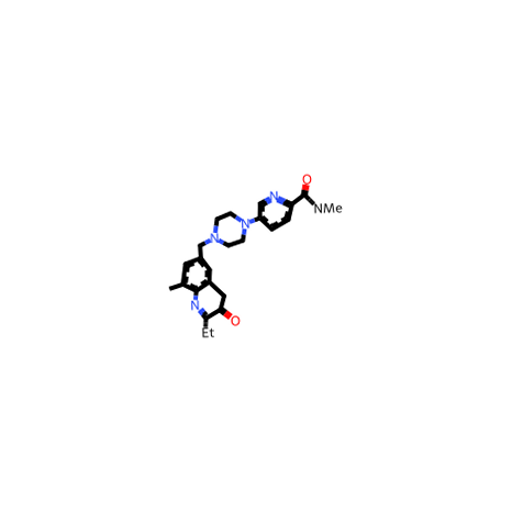 CCC1=Nc2c(C)cc(CN3CCN(c4ccc(C(=O)NC)nc4)CC3)cc2CC1=O